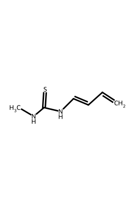 C=C/C=C/NC(=S)NC